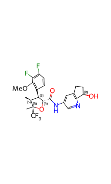 COc1c([C@H]2[C@H](C(=O)Nc3cnc4c(c3)CC[C@H]4O)O[C@@](C)(C(F)(F)F)[C@H]2C)ccc(F)c1F